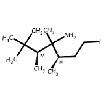 C[C@H](CCI)C(C)(N)[C@@H](C)C(C)(C)C